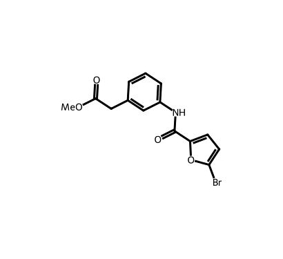 COC(=O)Cc1cccc(NC(=O)c2ccc(Br)o2)c1